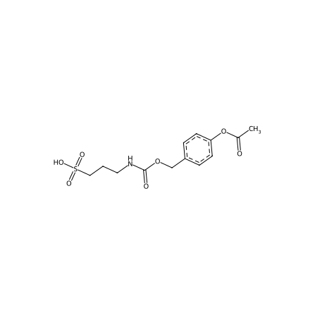 CC(=O)Oc1ccc(COC(=O)NCCCS(=O)(=O)O)cc1